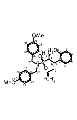 C=CC[C@@H](c1ccccc1C)[C@H](C)S(=O)(=O)N(Cc1ccc(OC)cc1)Cc1ccc(OC)cc1